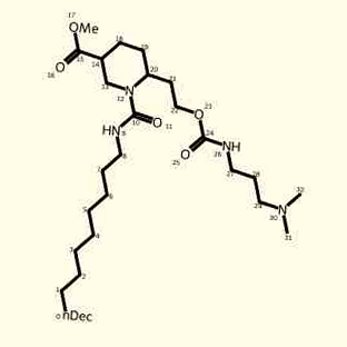 CCCCCCCCCCCCCCCCCCNC(=O)N1CC(C(=O)OC)CCC1CCOC(=O)NCCCN(C)C